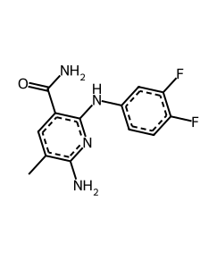 Cc1cc(C(N)=O)c(Nc2ccc(F)c(F)c2)nc1N